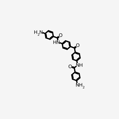 Nc1ccc(C(=O)Nc2ccc(C(=O)c3ccc(NC(=O)c4ccc(N)cc4)cc3)cc2)cc1